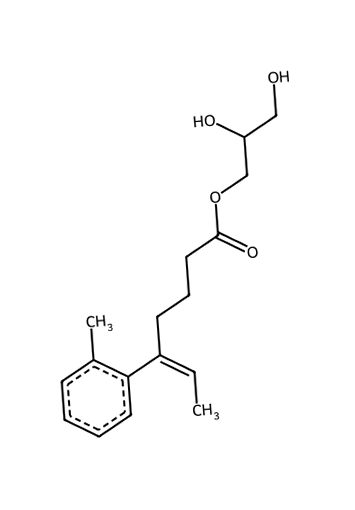 C/C=C(/CCCC(=O)OCC(O)CO)c1ccccc1C